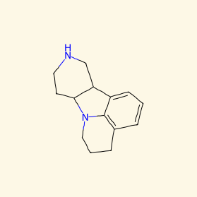 c1cc2c3c(c1)C1CNCCC1N3CCC2